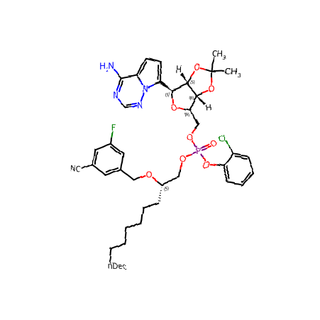 CCCCCCCCCCCCCCCC[C@@H](COP(=O)(OC[C@H]1O[C@@H](c2ccc3c(N)ncnn23)[C@@H]2OC(C)(C)O[C@@H]21)Oc1ccccc1Cl)OCc1cc(F)cc(C#N)c1